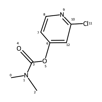 CN(C)C(=O)Oc1ccnc(Cl)c1